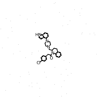 O=C(Cc1ccc(Cl)cc1)N1c2ccccc2CCC1CN1CCN(c2cccc3[nH]ccc23)CC1